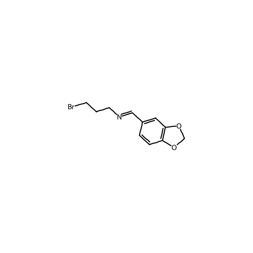 BrCCC/N=C/c1ccc2c(c1)OCO2